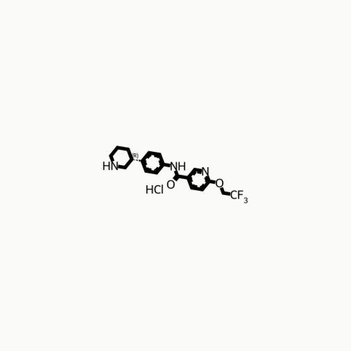 Cl.O=C(Nc1ccc([C@H]2CCCNC2)cc1)c1ccc(OCC(F)(F)F)nc1